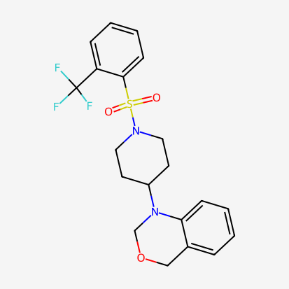 O=S(=O)(c1ccccc1C(F)(F)F)N1CCC(N2COCc3ccccc32)CC1